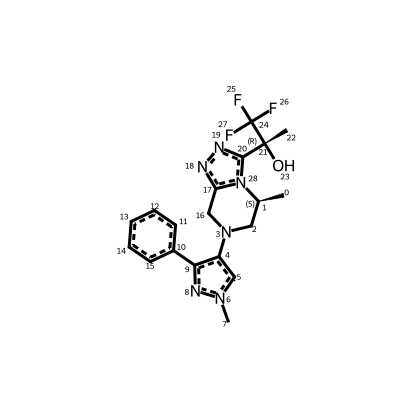 C[C@H]1CN(c2[c]n(C)nc2-c2ccccc2)Cc2nnc([C@@](C)(O)C(F)(F)F)n21